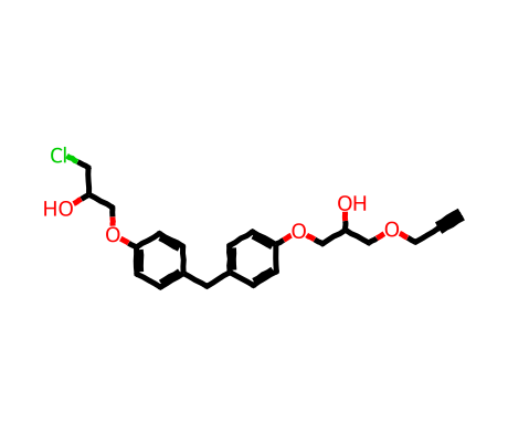 C#CCOCC(O)COc1ccc(Cc2ccc(OCC(O)CCl)cc2)cc1